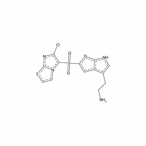 NCCc1c[nH]c2oc(S(=O)(=O)c3c(Cl)nc4sccn34)cc12